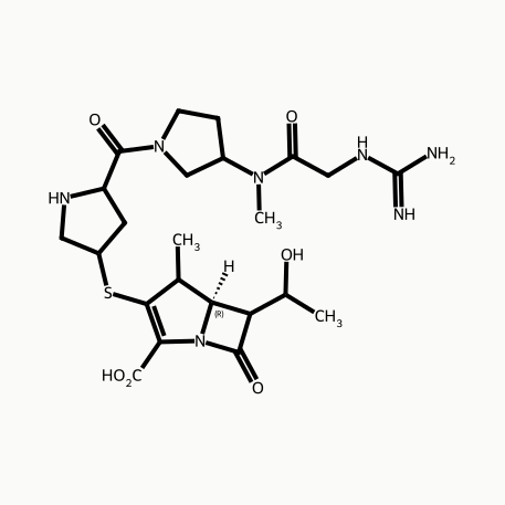 CC(O)C1C(=O)N2C(C(=O)O)=C(SC3CNC(C(=O)N4CCC(N(C)C(=O)CNC(=N)N)C4)C3)C(C)[C@@H]12